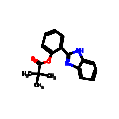 CC(C)(C)C(=O)Oc1ccccc1-c1nc2ccccc2[nH]1